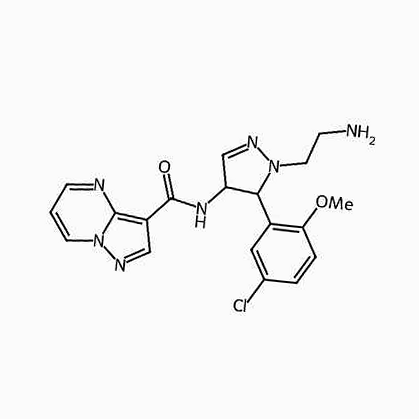 COc1ccc(Cl)cc1C1C(NC(=O)c2cnn3cccnc23)C=NN1CCN